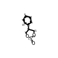 O=S1OCC(c2ccccc2)CO1